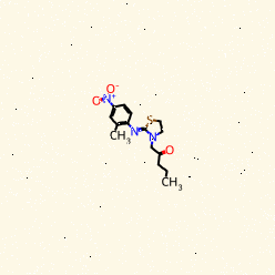 CCCC(=O)CN1CCSC1=Nc1ccc([N+](=O)[O-])cc1C